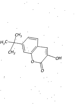 CC(C)(C)c1ccc2cc(O)c(=O)oc2c1